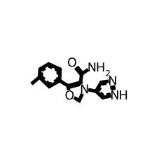 Cc1cccc(C2=C(C(N)=O)N(c3cn[nH]c3)CO2)c1